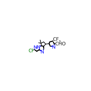 CC1(C)CC(c2cnc(C=O)c(C(F)(F)F)c2)c2cnc3cc(Cl)nn3c21